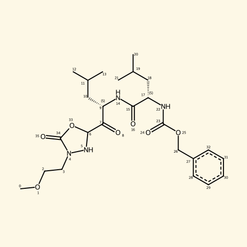 COCCN1NC(C(=O)[C@H](CC(C)C)NC(=O)[C@H](CC(C)C)NC(=O)OCc2ccccc2)OC1=O